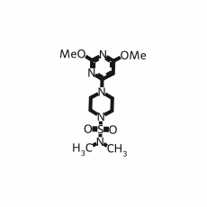 COc1cc(N2CCN(S(=O)(=O)N(C)C)CC2)nc(OC)n1